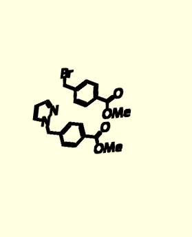 COC(=O)c1ccc(CBr)cc1.COC(=O)c1ccc(Cn2cccn2)cc1